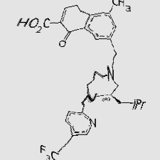 Cc1cc(CN2CCN(c3ccc(C(F)(F)F)cn3)[C@H](CC(C)C)C2)cc2c1CC=C(C(=O)O)C2=O